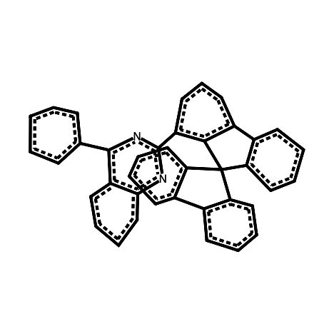 c1ccc(-c2nc(-c3cccc4c3C3(c5ccccc5-c5ccccc53)c3ccccc3-4)nc3ccccc23)cc1